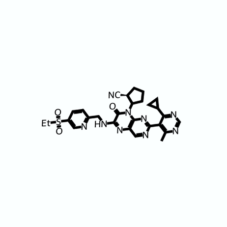 CCS(=O)(=O)c1ccc(CNc2nc3cnc(-c4c(C)ncnc4C4CC4)nc3n(C3CCC[C@@H]3C#N)c2=O)nc1